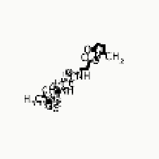 C=C1CCC(=O)N1OC(=O)CC[15NH][13C](=O)[13CH2][13CH2][15NH]C(=O)[13CH]1[13CH2][13CH2][13CH2]N1C(C)C